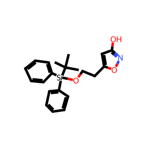 CC(C)(C)[Si](OCCc1cc(O)no1)(c1ccccc1)c1ccccc1